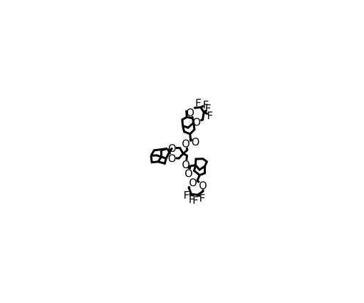 CC1CC2CC(C(=O)OCC3(COC(=O)C45CCCC(CC(C6OCC(F)(F)C(F)(F)CO6)C4)C5)COC4(OC3)C3CC5CC6CC4C6(C5)C3)CC(C2)C12OCC(F)(F)C(F)(F)CO2